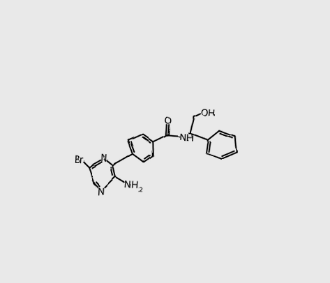 Nc1ncc(Br)nc1-c1ccc(C(=O)NC(CO)c2ccccc2)cc1